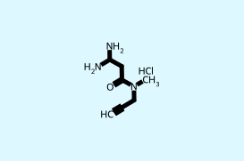 C#CCN(C)C(=O)CC(N)N.Cl